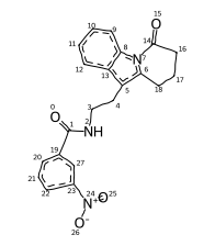 O=C(NCCc1c2n(c3ccccc13)C(=O)CCC2)c1cccc([N+](=O)[O-])c1